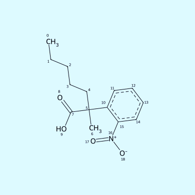 CCCCCC(C)(C(=O)O)c1ccccc1[N+](=O)[O-]